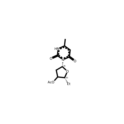 CC[C@H]1O[C@@H](n2c(=O)cc(C)[nH]c2=O)CC1OC(C)=O